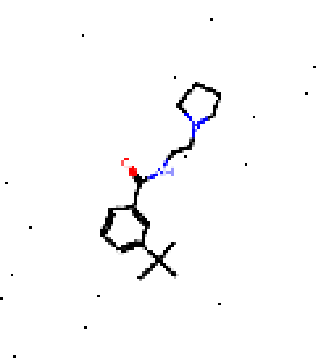 CC(C)(C)c1cccc(C(=O)NCCN2CCCC2)c1